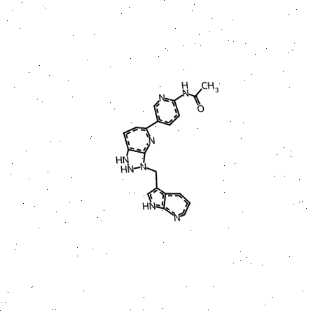 CC(=O)Nc1ccc(-c2ccc3c(n2)N(Cc2c[nH]c4ncccc24)NN3)cn1